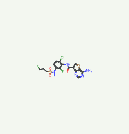 Nc1ncnc2c(C(=O)Nc3c(Cl)ccc(NS(=O)(=O)CCCF)c3F)csc12